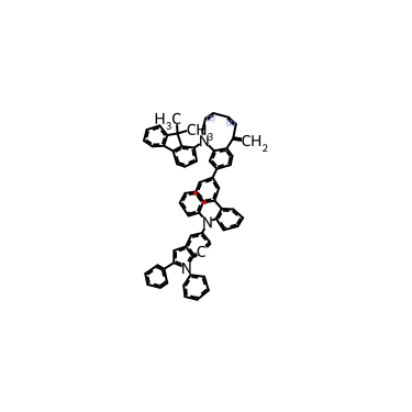 C=C1/C=C\C=C/CN(c2cccc3c2C(C)(C)c2ccccc2-3)c2cc(-c3cccc(-c4ccccc4N(c4ccccc4)c4ccc5c(c4)cc(-c4ccccc4)n5-c4ccccc4)c3)ccc21